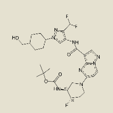 CC(C)(C)OC(=O)N[C@H]1CN(c2ccn3ncc(C(=O)Nc4cn(C5CCC(CO)CC5)nc4C(F)F)c3n2)CC[C@@H]1F